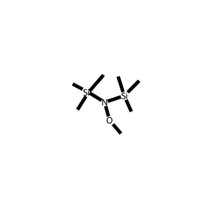 CON([Si](C)(C)C)[Si](C)(C)C